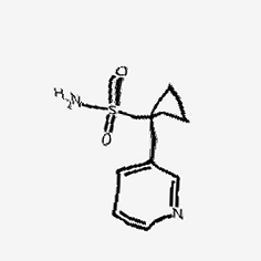 NS(=O)(=O)C1(c2cccnc2)CC1